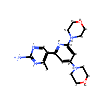 Cc1nc(N)ncc1-c1cc(N2CCOCC2)cc(N2CCOCC2)n1